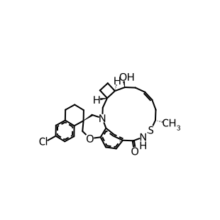 C[C@H]1C/C=C\C[C@H](O)[C@@H]2CC[C@H]2CN2C[C@@]3(CCCc4cc(Cl)ccc43)COc3ccc(cc32)C(=O)NS1